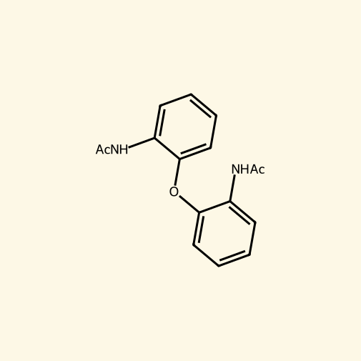 CC(=O)Nc1ccccc1Oc1ccccc1NC(C)=O